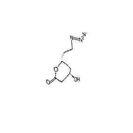 [N-]=[N+]=NCC[C@@H]1C[C@@H](O)CC(=O)O1